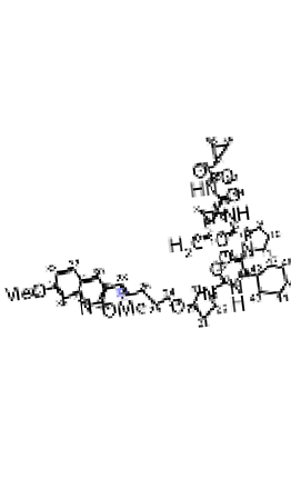 C=C[C@@H]1C[C@]1(NC(=O)[C@@H]1CCCN1C(=O)[C@@H](NC(=O)N1CC[C@H](OCCC/C=C/c2cc3ccc(OC)cc3nc2OC)C1)C1CCCCC1)C(=O)NS(=O)(=O)C1CC1